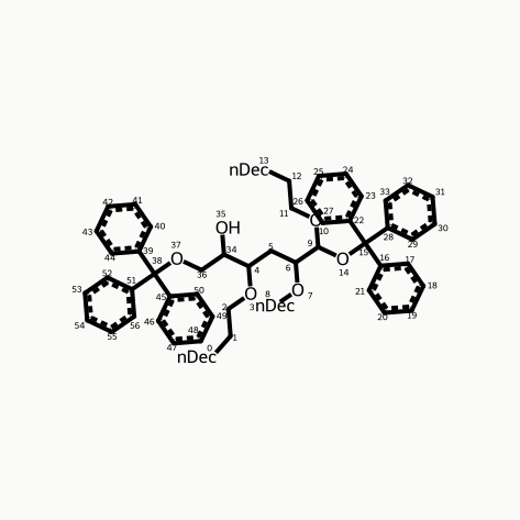 CCCCCCCCCCCCOC(CC(OCCCCCCCCCC)C(OCCCCCCCCCCCC)OC(c1ccccc1)(c1ccccc1)c1ccccc1)C(O)COC(c1ccccc1)(c1ccccc1)c1ccccc1